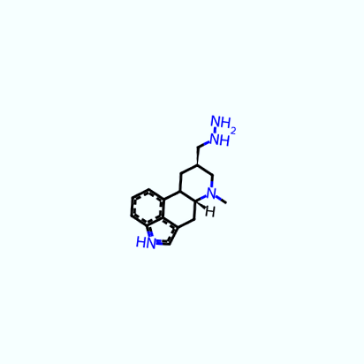 CN1C[C@H](CNN)CC2c3cccc4[nH]cc(c34)C[C@H]21